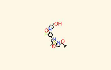 CC(Oc1ccc(C(=O)C2CC2)nc1)c1cc(-c2ccc(C(=O)N3CCC(CO)CC3)c(F)c2)ns1